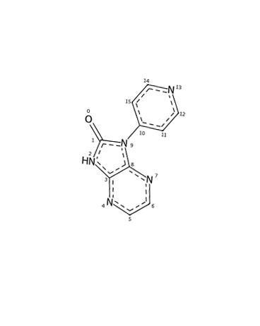 O=c1[nH]c2nccnc2n1-c1ccncc1